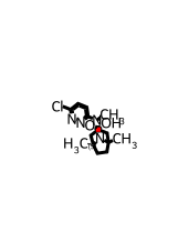 CN(c1ccc(Cl)nn1)C1CC2(C)CC[C@@](C)(C1)N2C(=O)O